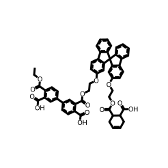 CCOC(=O)c1ccc(-c2ccc(C(=O)O)c(C(=O)OCCOc3ccc4c(c3)C3(c5ccccc5-4)c4ccccc4-c4ccc(OCCOC(=O)C5CC=CCC5C(=O)O)cc43)c2)cc1C(=O)O